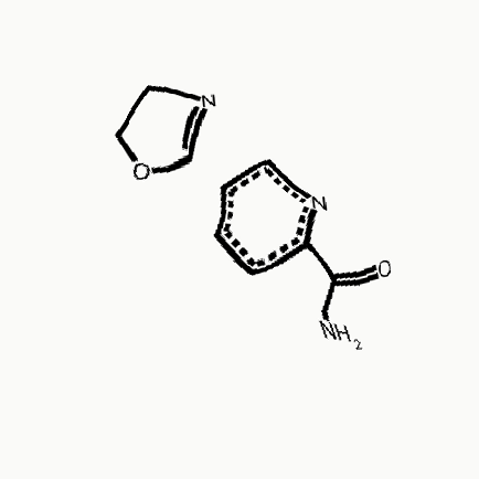 C1=NCCO1.NC(=O)c1ccccn1